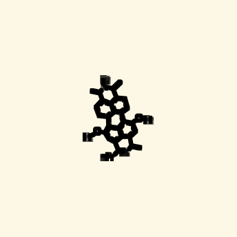 C=C(CC)c1cc(OCC)c2c3ccc4c5c(ccc(c6c(OCC)cc(C(=C)CCC)c1c26)c53)C(=C)N(CC)C4=C